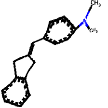 CN(C)c1ccc(C=C2Cc3ccccc3C2)cc1